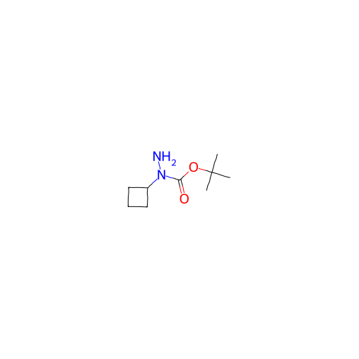 CC(C)(C)OC(=O)N(N)C1CCC1